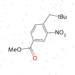 COC(=O)c1ccc(CC(C)(C)C)c([N+](=O)[O-])c1